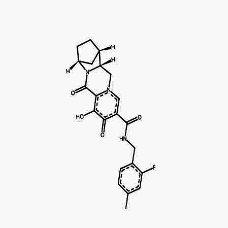 Cc1ccc(CNC(=O)c2cn3c(c(O)c2=O)C(=O)N2[C@@H]4CC[C@@H](C4)[C@@H]2C3)c(F)c1